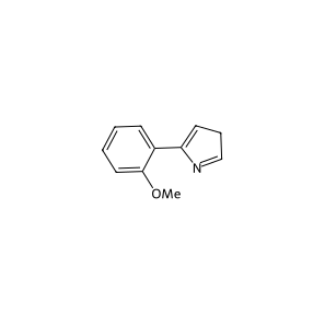 COc1ccccc1C1=CCC=N1